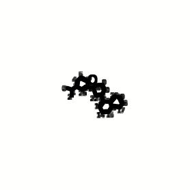 CC(C)c1ccc2oc3ccc(-c4cccc5ccccc45)cc3c2c1